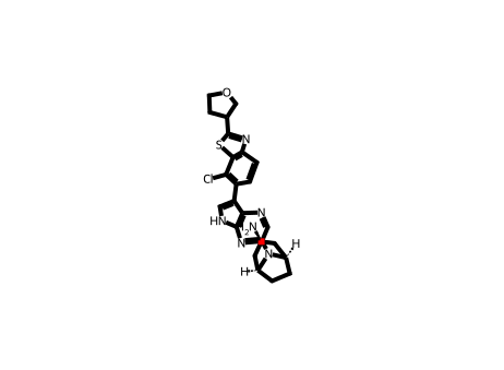 N[C@H]1C[C@H]2CC[C@@H](C1)N2c1cnc2c(-c3ccc4nc(C5CCOC5)sc4c3Cl)c[nH]c2n1